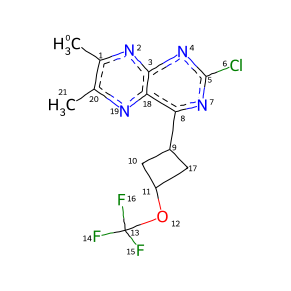 Cc1nc2nc(Cl)nc(C3CC(OC(F)(F)F)C3)c2nc1C